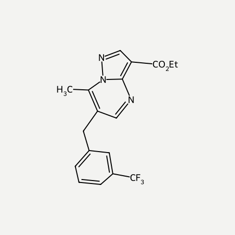 CCOC(=O)c1cnn2c(C)c(Cc3cccc(C(F)(F)F)c3)cnc12